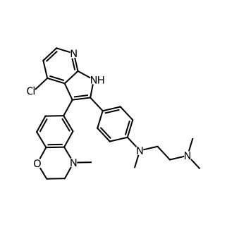 CN(C)CCN(C)c1ccc(-c2[nH]c3nccc(Cl)c3c2-c2ccc3c(c2)N(C)CCO3)cc1